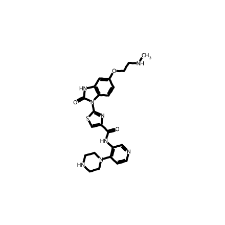 CNCCOc1ccc2c(c1)[nH]c(=O)n2-c1nc(C(=O)Nc2cnccc2N2CCNCC2)cs1